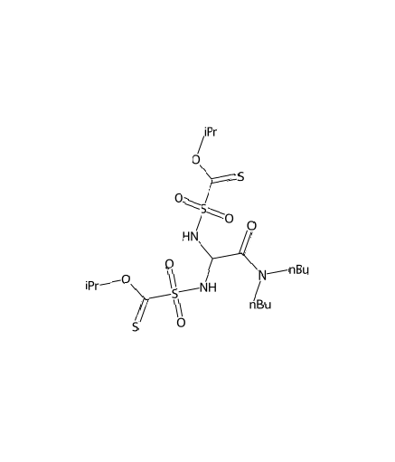 CCCCN(CCCC)C(=O)C(NS(=O)(=O)C(=S)OC(C)C)NS(=O)(=O)C(=S)OC(C)C